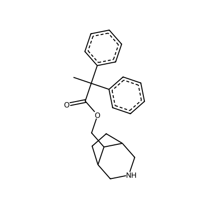 CC(C(=O)OCC1C2CCC1CNC2)(c1ccccc1)c1ccccc1